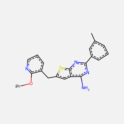 Cc1cccc(-c2nc(N)c3cc(Cc4cccnc4OC(C)C)sc3n2)c1